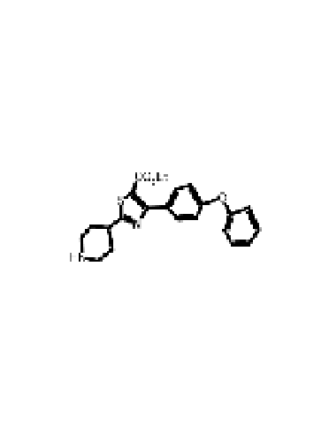 CCOC(=O)c1sc(C2CCNCC2)nc1-c1ccc(Oc2ccccc2)cc1